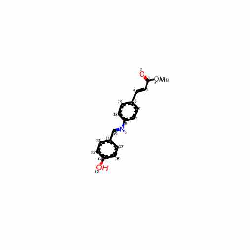 COC(=O)C=Cc1ccc(/N=C/c2ccc(O)cc2)cc1